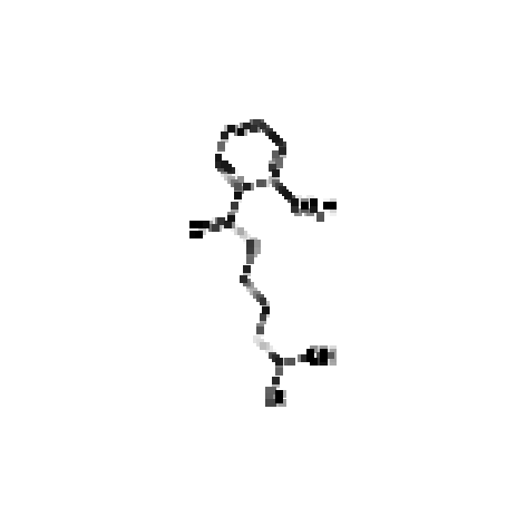 CCC(O)CCCOC(=O)c1ccccc1C(=O)O